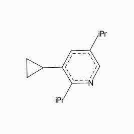 CC(C)c1cnc(C(C)C)c(C2CC2)c1